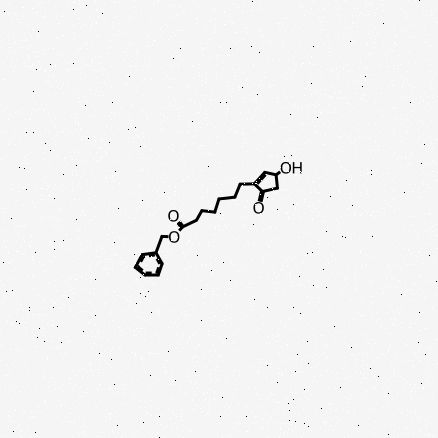 O=C(CCCCCCC1=CC(O)CC1=O)OCc1ccccc1